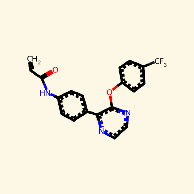 C=CC(=O)Nc1ccc(-c2nccnc2Oc2ccc(C(F)(F)F)cc2)cc1